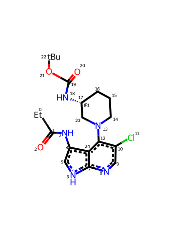 CCC(=O)Nc1c[nH]c2ncc(Cl)c(N3CCC[C@@H](NC(=O)OC(C)(C)C)C3)c12